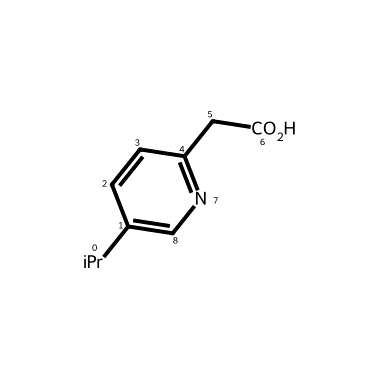 CC(C)c1ccc(CC(=O)O)nc1